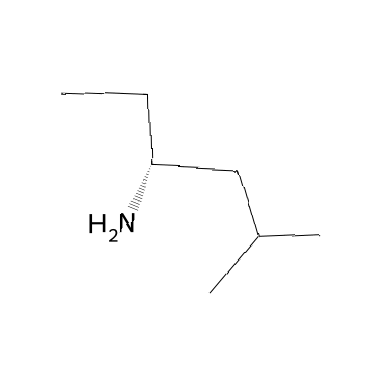 CC[C@@H](N)CC(C)C